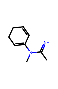 CC(=N)N(C)C1=CCCC=C1